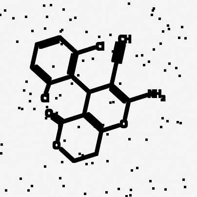 C#CC1=C(N)OC2=C(C(=O)OCC2)C1c1c(Cl)cccc1Cl